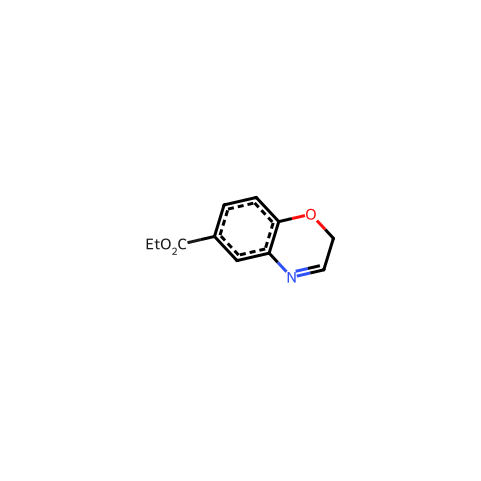 CCOC(=O)c1ccc2c(c1)N=CCO2